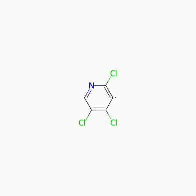 Clc1[c]c(Cl)c(Cl)cn1